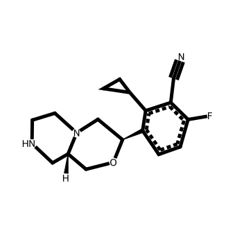 N#Cc1c(F)ccc([C@@H]2CN3CCNC[C@H]3CO2)c1C1CC1